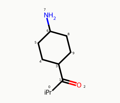 CC(C)C(=O)C1CCC(N)CC1